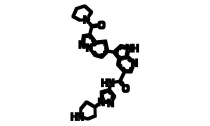 O=C(Nc1cnn(C2CCNCC2)c1)c1cnc2[nH]cc(-c3ccn4ncc(C(=O)N5CCCCC5)c4c3)c2c1